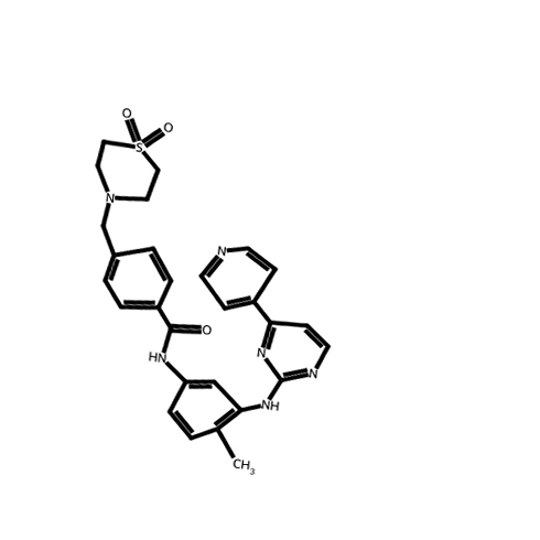 Cc1ccc(NC(=O)c2ccc(CN3CCS(=O)(=O)CC3)cc2)cc1Nc1nccc(-c2ccncc2)n1